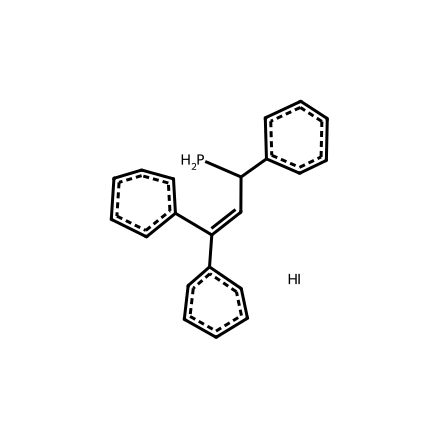 I.PC(C=C(c1ccccc1)c1ccccc1)c1ccccc1